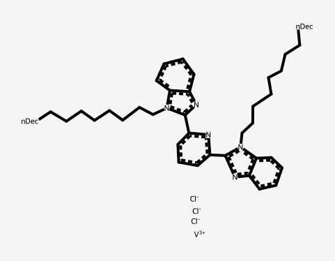 CCCCCCCCCCCCCCCCCCn1c(-c2cccc(-c3nc4ccccc4n3CCCCCCCCCCCCCCCCCC)n2)nc2ccccc21.[Cl-].[Cl-].[Cl-].[V+3]